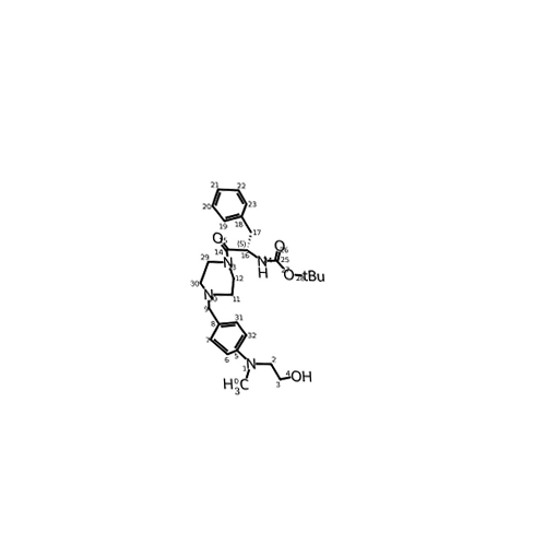 CN(CCO)c1ccc(CN2CCN(C(=O)[C@H](Cc3ccccc3)NC(=O)OC(C)(C)C)CC2)cc1